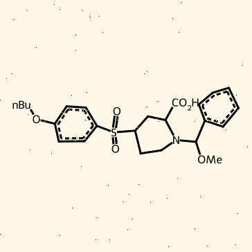 CCCCOc1ccc(S(=O)(=O)C2CCN(C(OC)c3ccccc3)C(C(=O)O)C2)cc1